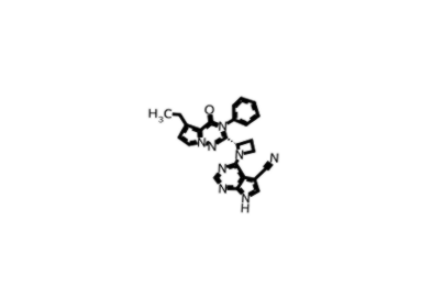 CCc1ccn2nc([C@@H]3CCN3c3ncnc4[nH]cc(C#N)c34)n(-c3ccccc3)c(=O)c12